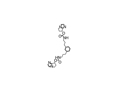 O=C(NCCCc1cccc(CCCNC(=O)O[C@H]2CCn3ccnc32)c1)O[C@H]1CCn2ccnc21